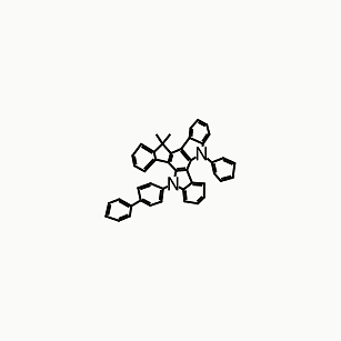 CC1(C)c2ccccc2-c2c1c1c3ccccc3n(-c3ccccc3)c1c1c3ccccc3n(-c3ccc(-c4ccccc4)cc3)c21